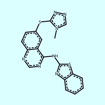 Cn1cnnc1Sc1ccc2ncnc(Nc3nc4ccccc4s3)c2c1